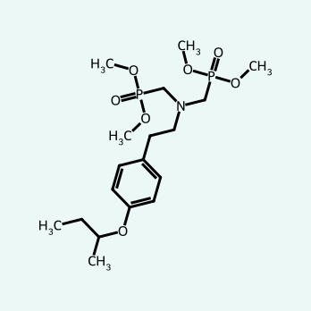 CCC(C)Oc1ccc(CCN(CP(=O)(OC)OC)CP(=O)(OC)OC)cc1